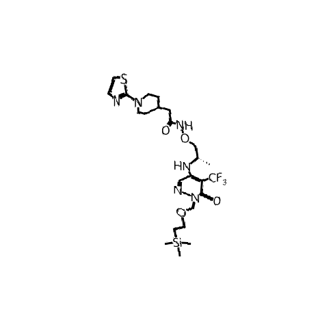 C[C@@H](CONC(=O)CC1CCN(c2nccs2)CC1)Nc1cnn(COCC[Si](C)(C)C)c(=O)c1C(F)(F)F